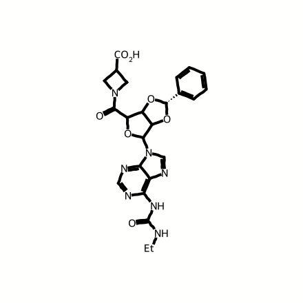 CCNC(=O)Nc1ncnc2c1ncn2C1OC(C(=O)N2CC(C(=O)O)C2)C2O[C@H](c3ccccc3)OC21